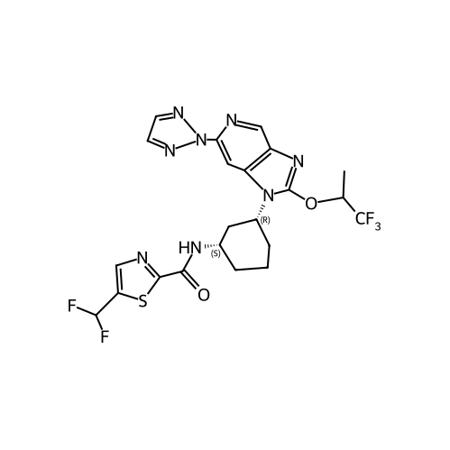 CC(Oc1nc2cnc(-n3nccn3)cc2n1[C@@H]1CCC[C@H](NC(=O)c2ncc(C(F)F)s2)C1)C(F)(F)F